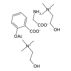 CC(=O)Oc1ccccc1C(=O)[O-].C[N+](C)(C)CCO.C[N+](C)(C)CCO.NCC(=O)[O-]